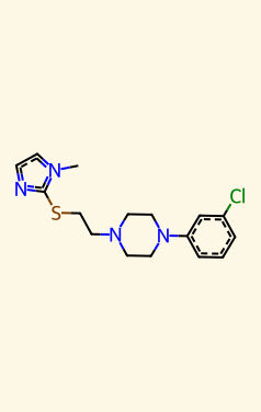 Cn1ccnc1SCCN1CCN(c2cccc(Cl)c2)CC1